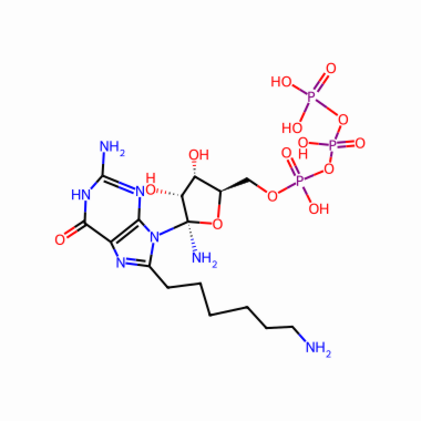 NCCCCCCc1nc2c(=O)[nH]c(N)nc2n1[C@]1(N)O[C@H](COP(=O)(O)OP(=O)(O)OP(=O)(O)O)[C@@H](O)[C@H]1O